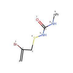 C=C(Br)CSNC(=O)NCCC